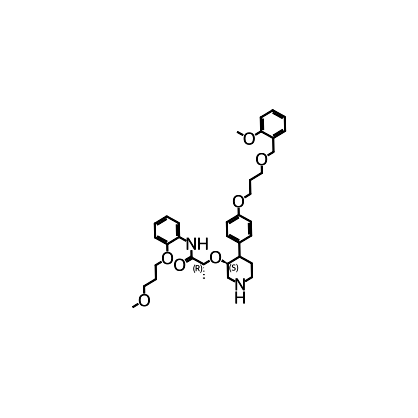 COCCCOc1ccccc1NC(=O)[C@@H](C)O[C@@H]1CNCCC1c1ccc(OCCCOCc2ccccc2OC)cc1